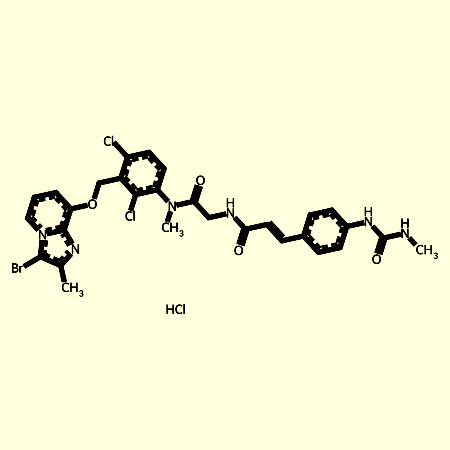 CNC(=O)Nc1ccc(C=CC(=O)NCC(=O)N(C)c2ccc(Cl)c(COc3cccn4c(Br)c(C)nc34)c2Cl)cc1.Cl